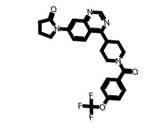 O=C(c1ccc(OC(F)(F)F)cc1)N1CCC(c2ncnc3cc(N4CCCC4=O)ccc23)CC1